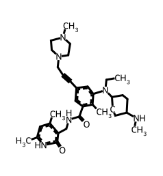 CCN(c1cc(C#CCN2CCN(C)CC2)cc(C(=O)NCc2c(C)cc(C)[nH]c2=O)c1C)C1CCC(NC)CC1